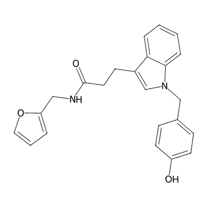 O=C(CCc1cn(Cc2ccc(O)cc2)c2ccccc12)NCc1ccco1